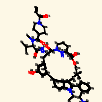 C=CC(=O)N1CCC(C(=O)N(C)C(C(=O)N[C@H]2Cc3cc(O)cc(c3)-c3ccc4c(c3)c(c(-c3ccccc3CN(C)C)n4CC)CC(C)(C)COC(=O)[C@@H]3CCCN(N3)C2=O)C(C)C)CC1